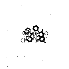 Cc1cc([C@@H](C)Nc2ccc(Cl)nc2C(=O)N2CCCS2(=O)=O)c2oc(-c3ccccc3)c(C)c(=O)c2c1